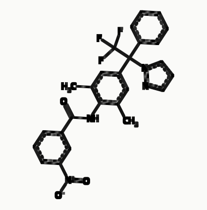 Cc1cc(C(c2ccccc2)(n2cccn2)C(F)(F)F)cc(C)c1NC(=O)c1cccc([N+](=O)[O-])c1